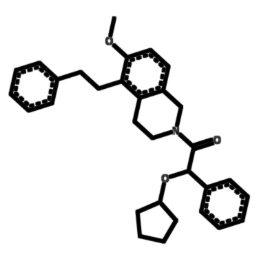 COc1ccc2c(c1CCc1ccccc1)CCN(C(=O)C(OC1CCCC1)c1ccccc1)C2